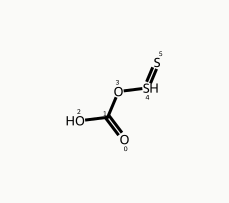 O=C(O)O[SH]=S